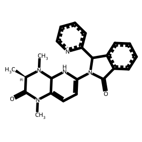 C[C@@H]1C(=O)N(C)C2=CC=C(N3C(=O)c4ccccc4C3c3ccccn3)NC2N1C